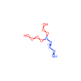 N=N/N=N/N(OOO)OOOO